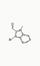 Cn1c(C=O)c(Br)c2ccccc21